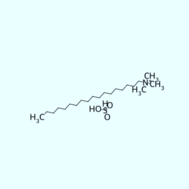 CCCCCCCCCCCCCCCCCC[N+](C)(C)C.O=[SH](=O)O